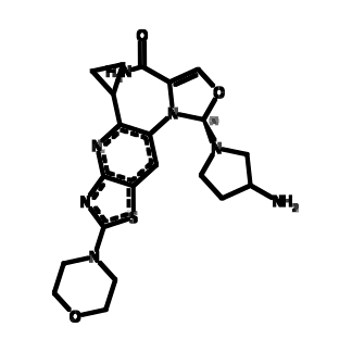 NC(=O)C1=CO[C@@H](N2CCC(N)C2)N1c1cc2sc(N3CCOCC3)nc2nc1C1CC1